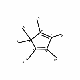 CC1=C(C)C(C)(C)[C]([Y])=C1C